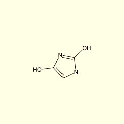 OC1=C[N]C(O)=N1